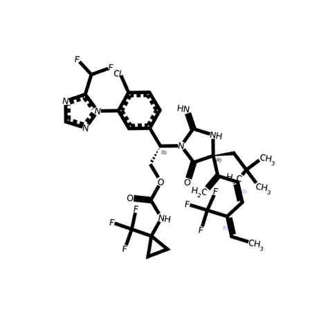 C=C(/C=C\C(=C/C)C(F)(F)F)[C@@]1(CC(C)(C)C)NC(=N)N([C@H](COC(=O)NC2(C(F)(F)F)CC2)c2ccc(Cl)c(-n3ncnc3C(F)F)c2)C1=O